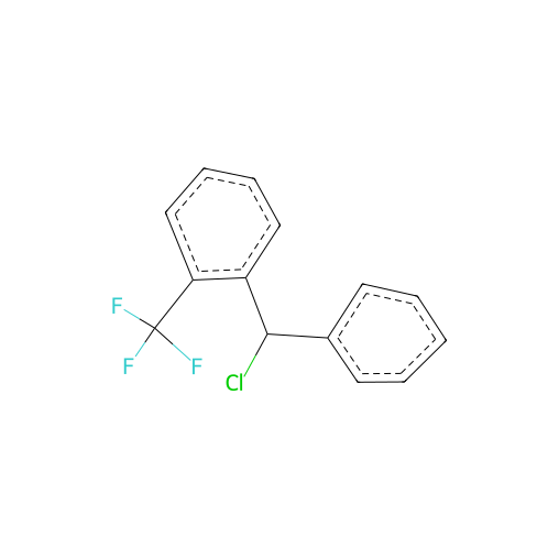 FC(F)(F)c1ccccc1C(Cl)c1ccccc1